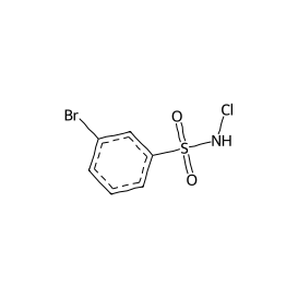 O=S(=O)(NCl)c1cccc(Br)c1